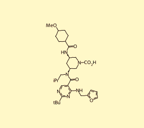 COC1CCC(C(=O)N[C@@H]2C[C@H](N(CC(C)C)C(=O)c3cnc(C(C)(C)C)nc3NCc3ccco3)CN(C(=O)O)C2)CC1